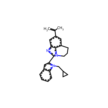 C=C(C)c1cc2c3c(c1)nc(-c1cc4ccccc4n1CC1CC1)n3CCC2